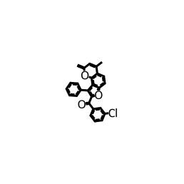 C=C1C=C(C)c2ccc3oc(C(=O)c4cccc(Cl)c4)c(-c4ccccc4)c3c2O1